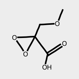 COCC1(C(=O)O)OO1